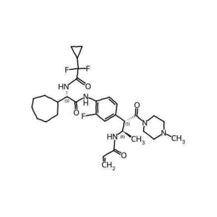 C=CC(=O)N[C@H](C)[C@@H](C(=O)N1CCN(C)CC1)c1ccc(NC(=O)[C@@H](NC(=O)C(F)(F)C2CC2)C2CCCCCC2)c(F)c1